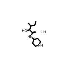 CCC(C)C(O)C(=O)NC1CCNCC1.Cl